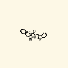 O=C(O)C(Cc1csc2ccccc12)NS(=O)(=O)Cc1ccccc1